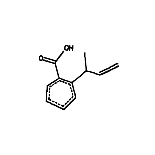 C=CC(I)c1ccccc1C(=O)O